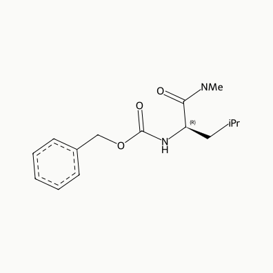 CNC(=O)[C@@H](CC(C)C)NC(=O)OCc1ccccc1